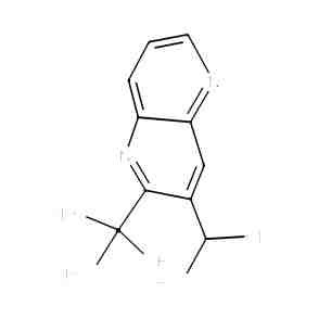 CC(C)c1cc2ncccc2nc1C(C)(C)C